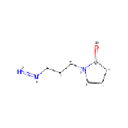 N=NCCCN1CCCC1=O